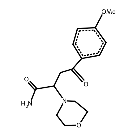 COc1ccc(C(=O)CC(C(N)=O)N2CCOCC2)cc1